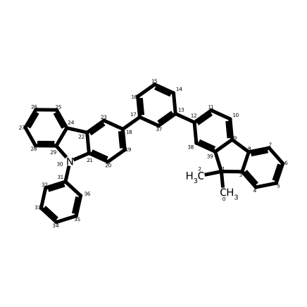 CC1(C)c2ccccc2-c2ccc(-c3cccc(-c4ccc5c(c4)c4ccccc4n5-c4ccccc4)c3)cc21